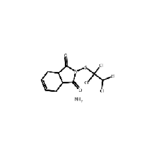 N.O=C1C2CC=CCC2C(=O)N1SC(Cl)(Cl)C(Cl)Cl